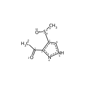 CC(=O)c1n[nH]cc1[S+](C)[O-]